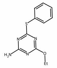 CCOc1nc(N)nc(Sc2ccccc2)n1